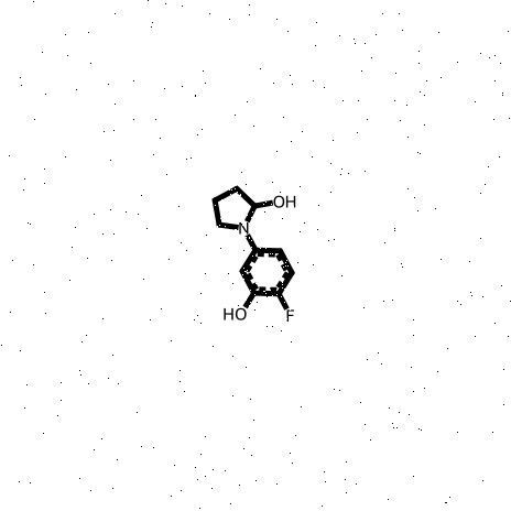 Oc1cc(N2CCCC2O)ccc1F